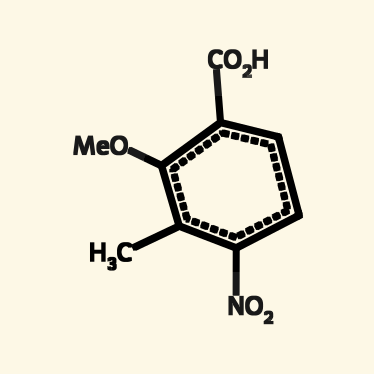 COc1c(C(=O)O)ccc([N+](=O)[O-])c1C